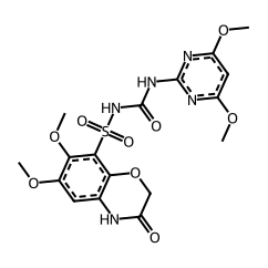 COc1cc(OC)nc(NC(=O)NS(=O)(=O)c2c3c(cc(OC)c2OC)NC(=O)CO3)n1